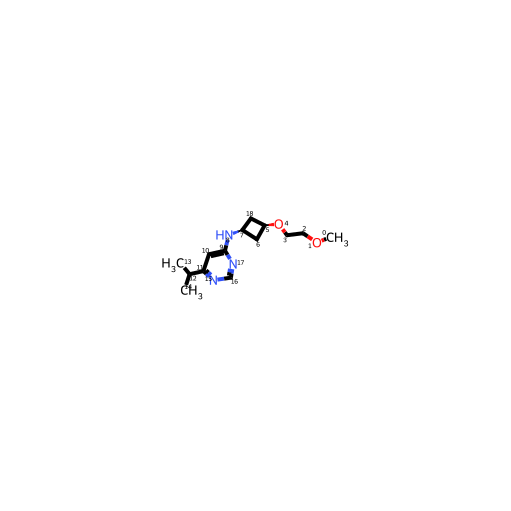 COCCO[C@H]1C[C@@H](Nc2cc(C(C)C)ncn2)C1